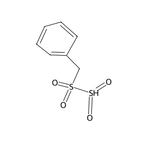 O=[SH](=O)S(=O)(=O)Cc1ccccc1